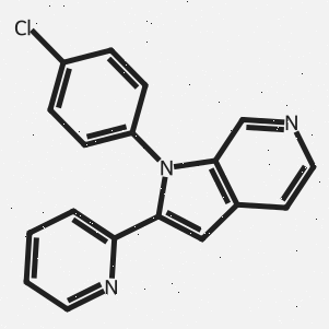 Clc1ccc(-n2c(-c3ccccn3)cc3ccncc32)cc1